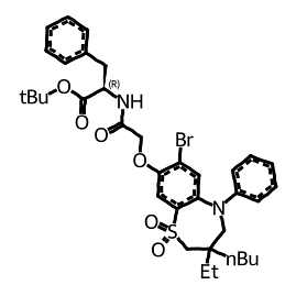 CCCCC1(CC)CN(c2ccccc2)c2cc(Br)c(OCC(=O)N[C@H](Cc3ccccc3)C(=O)OC(C)(C)C)cc2S(=O)(=O)C1